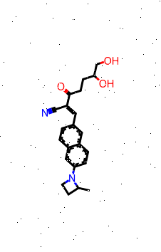 CC1CCN1c1ccc2cc(/C=C(\C#N)C(=O)CCC(O)CO)ccc2c1